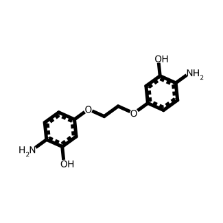 Nc1ccc(OCCOc2ccc(N)c(O)c2)cc1O